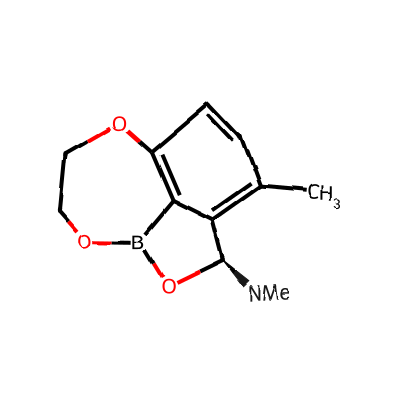 CN[C@H]1OB2OCCOc3ccc(C)c1c32